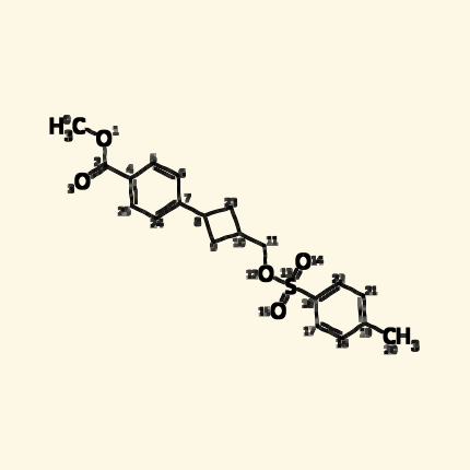 COC(=O)c1ccc(C2CC(COS(=O)(=O)c3ccc(C)cc3)C2)cc1